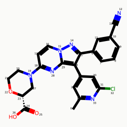 Cc1cc(-c2c(-c3cccc(C#N)c3)nn3ccc(N4CCO[C@@H](C(=O)O)C4)nc23)cc(Cl)n1